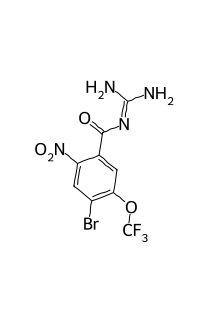 NC(N)=NC(=O)c1cc(OC(F)(F)F)c(Br)cc1[N+](=O)[O-]